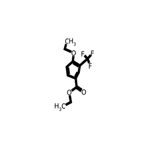 CCOC(=O)c1ccc(OCC)c(C(F)(F)F)c1